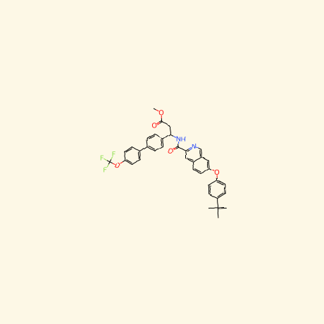 COC(=O)CC(NC(=O)c1cc2ccc(Oc3ccc(C(C)(C)C)cc3)cc2cn1)c1ccc(-c2ccc(OC(F)(F)F)cc2)cc1